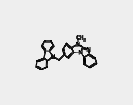 Cn1c2ccc(Cn3c4ccccc4c4ccccc43)cc2n2c3ccccc3nc12